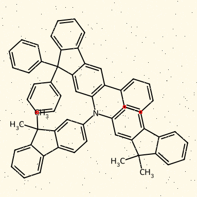 CC1(C)c2ccccc2-c2ccc(N(c3ccc4c(c3)C(C)(C)c3ccccc3-4)c3cc4c(cc3-c3ccccc3)-c3ccccc3C4(c3ccccc3)c3ccccc3)cc21